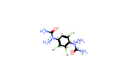 NC(=O)N(N)c1cc(F)c(N(N)C(N)=O)c(F)c1F